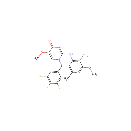 COc1cc(C)cc(Nc2nc(=O)c(OC)cn2Cc2cc(F)c(F)c(F)c2)c1C